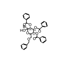 O=C(O[C@@H]1[C@H](OC(=O)c2ccccc2)[C@@H](OC(=O)c2ccccc2)[C@@](O)(Br)O[C@@H]1COCc1ccccc1)c1ccccc1